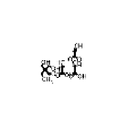 C#CC(=O)O.C#CC(=O)O.C#CC(=O)O.CCC(CO)(CO)CO